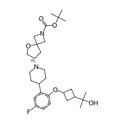 CC(C)(C)OC(=O)N1CC2(C[C@H](N3CCC(c4cc(F)ccc4OC4CC(C(C)(C)O)C4)CC3)CO2)C1